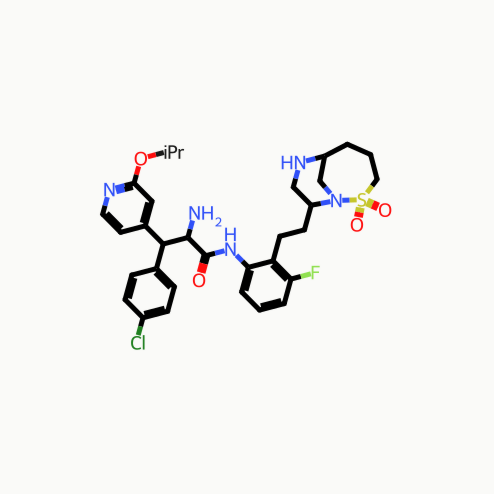 CC(C)Oc1cc(C(c2ccc(Cl)cc2)C(N)C(=O)Nc2cccc(F)c2CCC2CNC3CCCS(=O)(=O)N2C3)ccn1